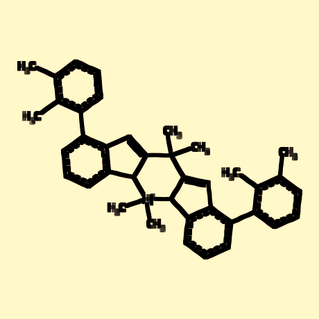 Cc1cccc(-c2cccc3c2C=C2[CH]3[Hf]([CH3])([CH3])[CH]3C(=Cc4c(-c5cccc(C)c5C)cccc43)C2(C)C)c1C